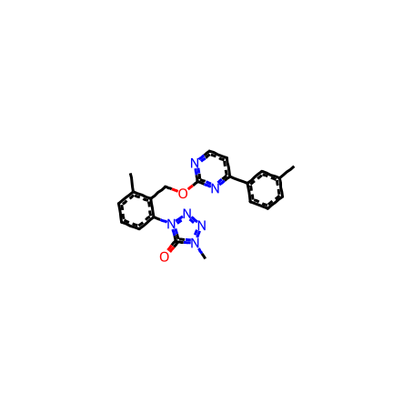 Cc1cccc(-c2ccnc(OCc3c(C)cccc3-n3nnn(C)c3=O)n2)c1